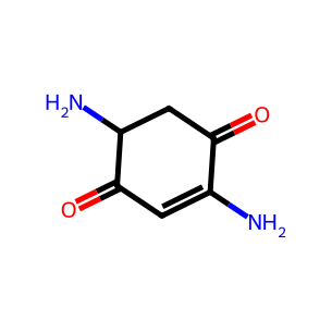 NC1=CC(=O)C(N)CC1=O